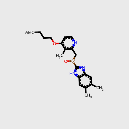 COCCCOc1ccnc(C[S+]([O-])c2nc3cc(C)c(C)cc3[nH]2)c1C